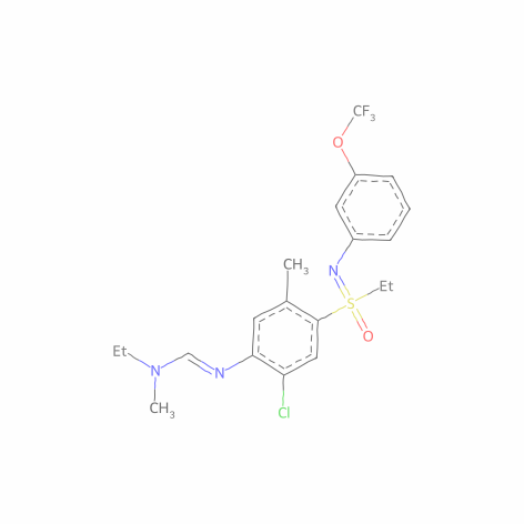 CCN(C)C=Nc1cc(C)c(S(=O)(CC)=Nc2cccc(OC(F)(F)F)c2)cc1Cl